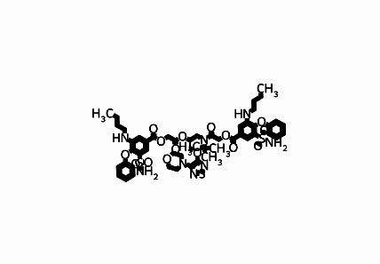 CCCCNc1cc(C(=O)OCC(=O)O[C@H](COc2nsnc2N2CCOCC2)CN(C(=O)COC(=O)c2cc(NCCCC)c(Oc3ccccc3)c(S(N)(=O)=O)c2)C(C)(C)C)cc(S(N)(=O)=O)c1Oc1ccccc1